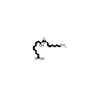 CCCCC/C=C\C[C@@H]1O[C@H]1C(O)/C=C\C/C=C\CCCC(=O)O